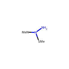 CNN(N)SC